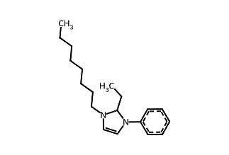 CCCCCCCCN1C=CN(c2ccccc2)C1CC